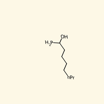 CCCCCCCC(O)P